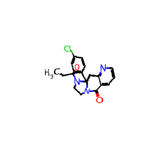 CCC(=O)N1CCN2C(=O)c3cccnc3CC12c1ccc(Cl)cc1